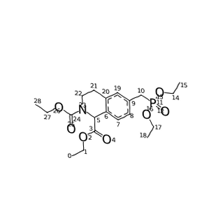 CCOC(=O)C1c2ccc(CP(=O)(OCC)OCC)cc2CCN1C(=O)OCC